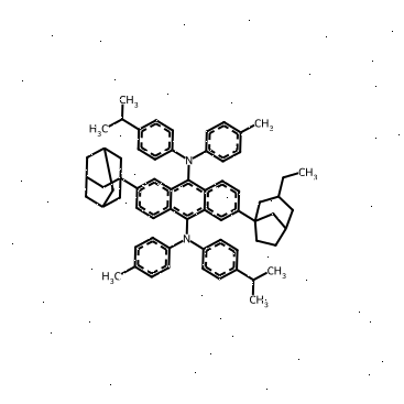 CCC1CC2CCC(c3ccc4c(N(c5ccc(C)cc5)c5ccc(C(C)C)cc5)c5cc(C67CC8CC(CC(C8)C6)C7)ccc5c(N(c5ccc(C)cc5)c5ccc(C(C)C)cc5)c4c3)(C1)C2